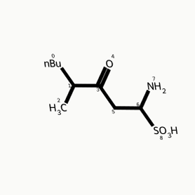 CCCCC(C)C(=O)CC(N)S(=O)(=O)O